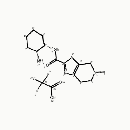 CN1CCc2nc(C(=O)N[C@H]3CCCC[C@H]3N)sc2C1.O=C(O)C(F)(F)F